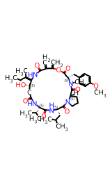 C=C1OC(=O)[C@H](Cc2ccc(OC)cc2)N(C)C(=O)[C@@H]2CCCN2C(=O)[C@H](CC(C)C)NC(=O)[C@H](C(C)C)NC(=O)C[C@H](O)/C(=C(/C)CC)NC(=O)C1=C